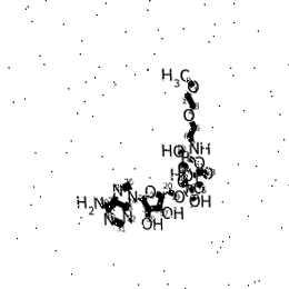 COCCOCCNP(=O)(O)OP(=O)(O)OP(=O)(O)OC[C@H]1O[C@@H](n2cnc3c(N)ncnc32)C(O)[C@H]1O